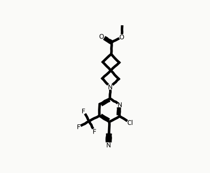 COC(=O)C1CC2(C1)CN(c1cc(C(F)(F)F)c(C#N)c(Cl)n1)C2